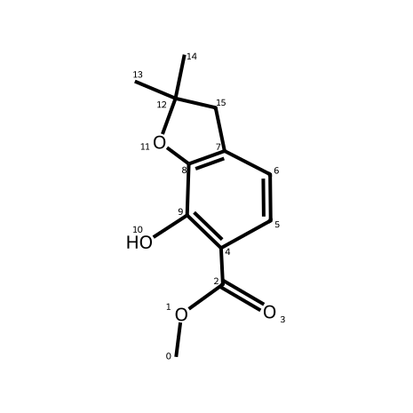 COC(=O)c1ccc2c(c1O)OC(C)(C)C2